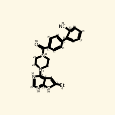 CCc1cc2c(N3CCN(C(=O)c4ccc(-c5ccccc5C#N)cc4)CC3)ncnc2s1